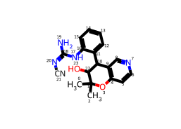 CC1(C)Oc2ccncc2C(c2ccccc2N/C(N)=N\C#N)C1O